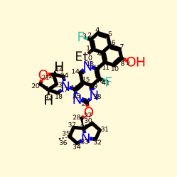 CCc1c(F)ccc2cc(O)cc(-c3ncc4c(N5C[C@@H]6CO[C@@H](C6)C5)nc(OC[C@@]56CCCN5C[C@H](C)C6)nc4c3F)c12